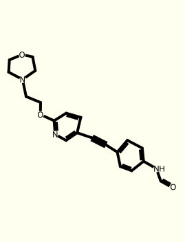 O=CNc1ccc(C#Cc2ccc(OCCN3CCOCC3)nc2)cc1